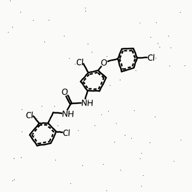 O=C(NCc1c(Cl)cccc1Cl)Nc1ccc(Oc2ccc(Cl)cc2)c(Cl)c1